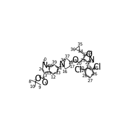 Cn1cc(C(=O)OC(C)(C)C)c2ccc(N3CCC(OCc4c(-c5c(Cl)cccc5Cl)noc4C4CC4)CC3)cc21